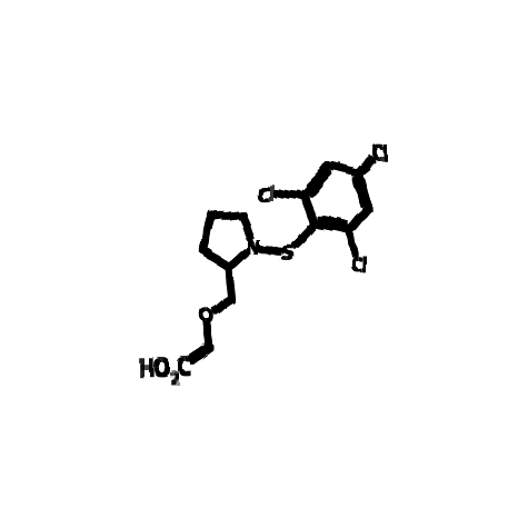 O=C(O)COCC1CCCN1Sc1c(Cl)cc(Cl)cc1Cl